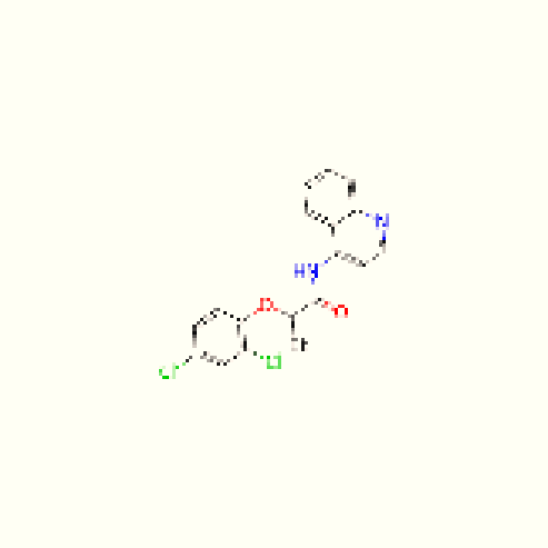 CCC(Oc1ccc(Cl)cc1Cl)C(=O)Nc1ccnc2ccccc12